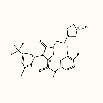 Cc1cc(C(F)(F)F)cc(N2C(=O)N(CCN3CC[C@H](O)C3)C[C@H]2C(=O)N(C)c2ccc(F)c(Cl)c2)n1